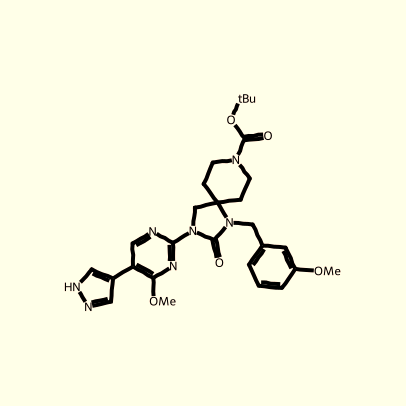 COc1cccc(CN2C(=O)N(c3ncc(-c4cn[nH]c4)c(OC)n3)CC23CCN(C(=O)OC(C)(C)C)CC3)c1